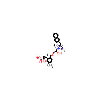 Cc1ccc(COC[C@H](O)CNC(C)(C)Cc2ccc3ccccc3c2)c2c1O[C@@]1(C(=O)O)C[C@H]21